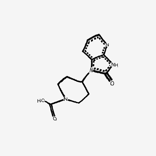 O=C(O)N1CCC(n2c(=O)[nH]c3ncccc32)CC1